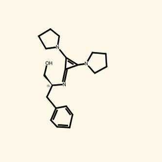 OC[C@H](Cc1ccccc1)N=c1c(N2CCCC2)c1N1CCCC1